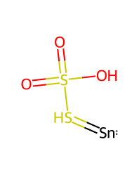 O=S(=O)(O)[SH]=[Sn]